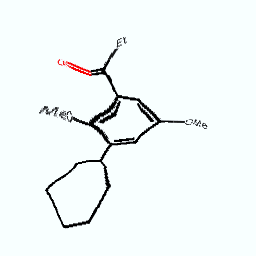 CCC(=O)c1cc(OC)cc(C2CCCCC2)c1OC